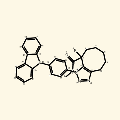 COC(=O)C1(F)CCCCCc2nnn(-c3ccc(-n4c5ccccc5c5ccccc54)cc3)c21